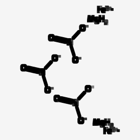 O=[Si]([O-])[O-].O=[Si]([O-])[O-].O=[Si]([O-])[O-].[Fe+3].[Fe+3].[MgH2].[MgH2]